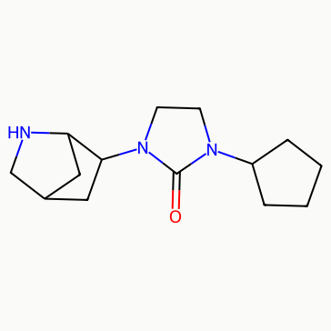 O=C1N(C2CCCC2)CCN1C1CC2CNC1C2